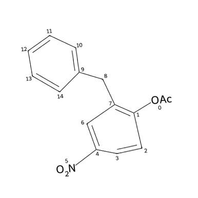 CC(=O)Oc1ccc([N+](=O)[O-])cc1Cc1ccccc1